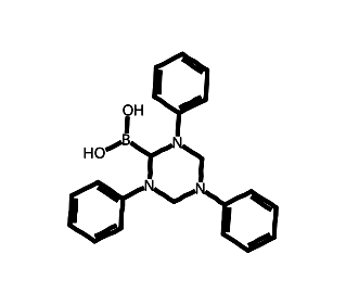 OB(O)C1N(c2ccccc2)CN(c2ccccc2)CN1c1ccccc1